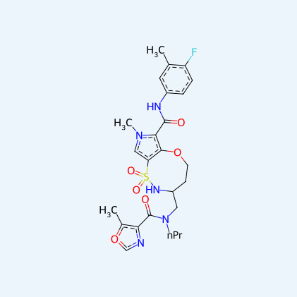 CCCN(CC1CCOc2c(cn(C)c2C(=O)Nc2ccc(F)c(C)c2)S(=O)(=O)N1)C(=O)c1ncoc1C